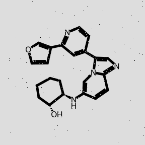 O[C@@H]1CCCC[C@H]1Nc1ccc2ncc(-c3ccnc(-c4ccoc4)c3)n2c1